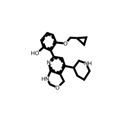 Oc1cccc(OCC2CC2)c1-c1cc(C2CCCNC2)c2c(n1)NCOC2